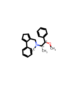 CO[C@H](c1ccccc1)[C@H](C)N(C)CC1=CCC=C1c1ccccc1